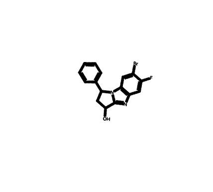 OC1CC(c2ccccc2)n2c1nc1cc(F)c(Br)cc12